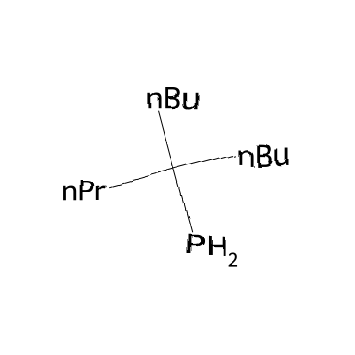 CCCCC(P)(CCC)CCCC